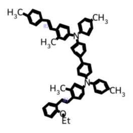 CCOc1ccccc1/C=C/c1ccc(N(c2ccc(C)cc2)c2ccc(-c3ccc(N(c4ccc(C)cc4)c4ccc(/C=C/c5ccc(C)cc5)c(C)c4)cc3)cc2)cc1C